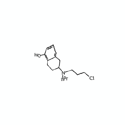 CCCN(CCCCl)C1CCc2c(O)cccc2C1